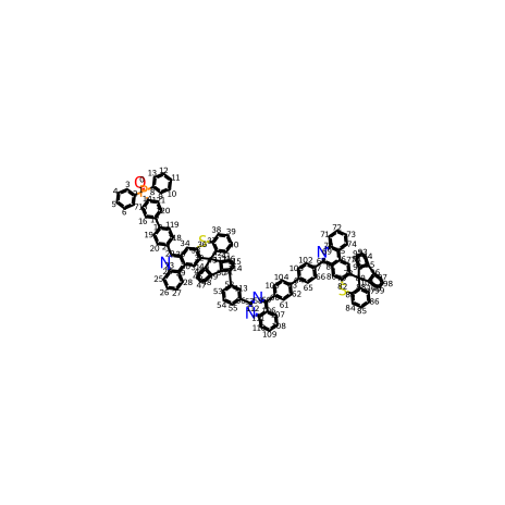 O=P(c1ccccc1)(c1ccccc1)c1ccc(-c2ccc(-c3nc4ccccc4c4cc5c(cc34)Sc3ccccc3C53c4ccccc4-c4c(-c5cccc(-c6nc(-c7ccc(-c8ccc(-c9nc%10ccccc%10c%10cc%11c(cc9%10)Sc9ccccc9C%119c%10ccccc%10-c%10ccccc%109)cc8)cc7)c7ccccc7n6)c5)cccc43)cc2)cc1